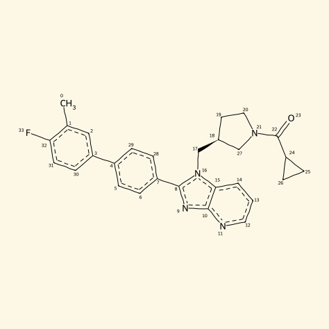 Cc1cc(-c2ccc(-c3nc4ncccc4n3C[C@H]3CCN(C(=O)C4CC4)C3)cc2)ccc1F